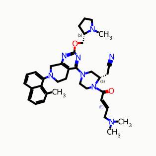 Cc1cccc2cccc(N3CCc4c(nc(OC[C@@H]5CCCN5C)nc4N4CCN(C(=O)/C=C/CN(C)C)[C@@H](CC#N)C4)C3)c12